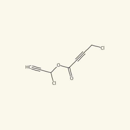 C#CC(Cl)OC(=O)C#CCCl